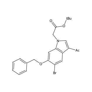 CC(=O)c1cn(CC(=O)OC(C)(C)C)c2cc(OCc3ccccc3)c(Br)cc12